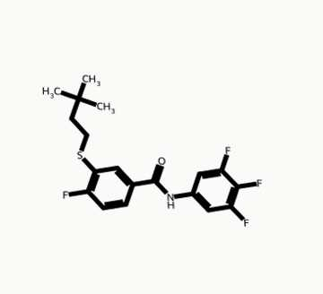 CC(C)(C)CCSc1cc(C(=O)Nc2cc(F)c(F)c(F)c2)ccc1F